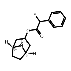 CN1[C@@H]2CC[C@H]1CC(OC(=O)C(F)c1ccccc1)C2